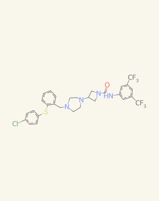 O=C(Nc1cc(C(F)(F)F)cc(C(F)(F)F)c1)N1CC(N2CCN(Cc3ccccc3Sc3ccc(Cl)cc3)CC2)C1